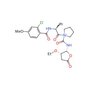 CCO[C@H]1CC(=O)O[C@H]1NC(=O)[N+]1(C(=O)[C@@H](NC(=O)c2ccc(OC)cc2Cl)C(C)C)CCCC1